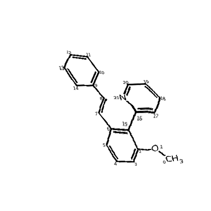 COc1cccc(C=Cc2ccccc2)c1-c1ccccn1